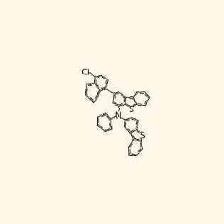 Clc1ccc(-c2cc(N(c3ccccc3)c3ccc4sc5ccccc5c4c3)c3sc4ccccc4c3c2)c2ccccc12